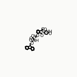 O=C1CCC(N2C(=O)c3cccc(OCC[C@H](NC(=O)OCC4c5ccccc5-c5ccccc54)C(=O)O)c3C2=O)C(=O)N1